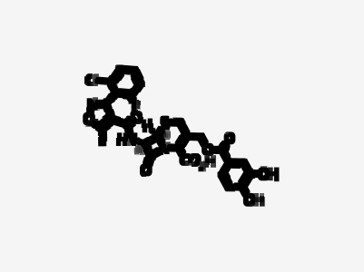 Cc1onc(-c2c(F)cccc2Cl)c1C(=O)N[C@@H]1C(=O)N2C(C(=O)O)=C(COC(=O)c3ccc(O)c(O)c3)CS[C@H]12